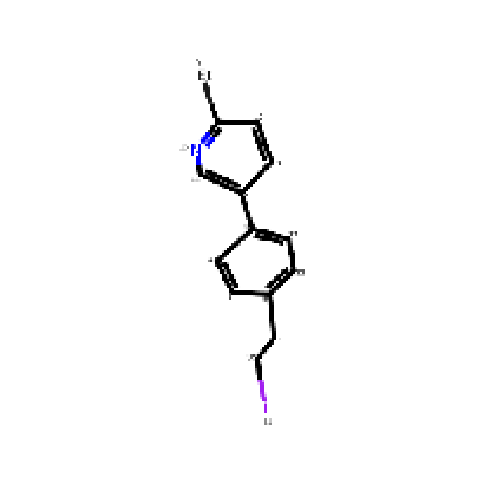 CCc1ccc(-c2ccc(CCI)cc2)cn1